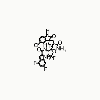 CC(C)(F)C[C@H](NC(=O)c1cc2c(F)cc(F)cc2[nH]1)C(=O)N1C[C@]2(C[C@H]1C(N)=O)C(=O)Nc1ccc(Cl)cc12